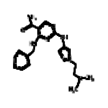 CN(C)CCn1cc(Nc2ncc(C(N)=O)c(NCc3ccccc3)n2)cn1